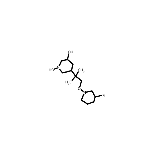 CC(C)C1CCCN(OCC(C)(C)C2CC(O)CN(O)C2)C1